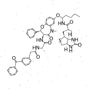 CCCCC(NC(=O)C(CC)C[C@@H]1SC[C@@H]2NC(=O)N[C@@H]21)Oc1ccc2c(c1)N(C)C(=O)[C@@H](NC(=O)[C@H](C)NC(=O)Cc1cccc(C(=O)c3ccccc3)c1)[C@@H](c1ccccc1)O2